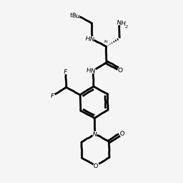 CC(C)(C)CN[C@H](CN)C(=O)Nc1ccc(N2CCOCC2=O)cc1C(F)F